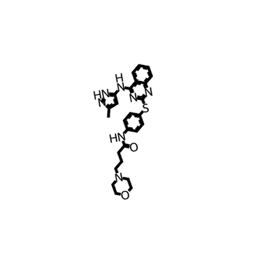 Cc1cc(Nc2nc(Sc3ccc(NC(=O)CCCN4CCOCC4)cc3)nc3ccccc23)[nH]n1